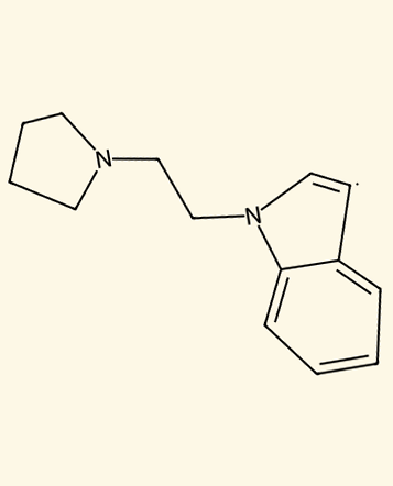 [c]1cn(CCN2CCCC2)c2ccccc12